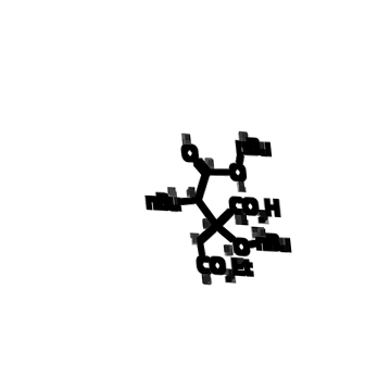 CCCCOC(=O)C(CCCC)C(CC(=O)OCC)(OCCCC)C(=O)O